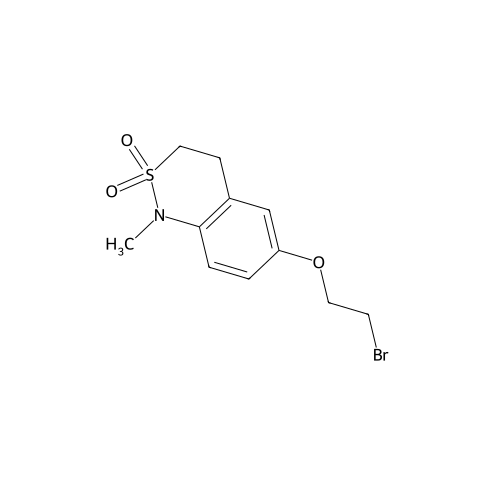 CN1c2ccc(OCCBr)cc2CCS1(=O)=O